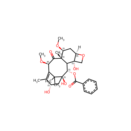 CO[C@H]1C(=O)[C@@]2(C)C([C@H](OC(=O)c3ccccc3)[C@]3(O)C[C@H](O)C(C)=C1C3(C)C)[C@]1(O)CO[C@@H]1C[C@@H]2OC